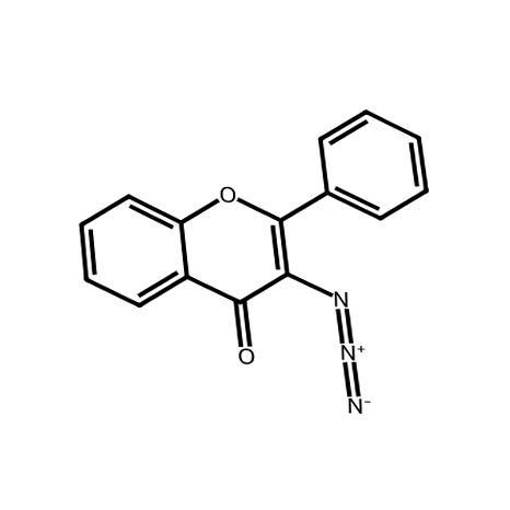 [N-]=[N+]=Nc1c(-c2ccccc2)oc2ccccc2c1=O